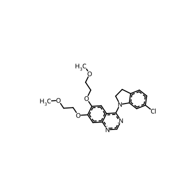 COCCOc1cc2ncnc(N3CCc4ccc(Cl)cc43)c2cc1OCCOC